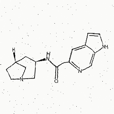 O=C(N[C@@H]1C[C@H]2CCN(C2)C1)c1cc2cc[nH]c2cn1